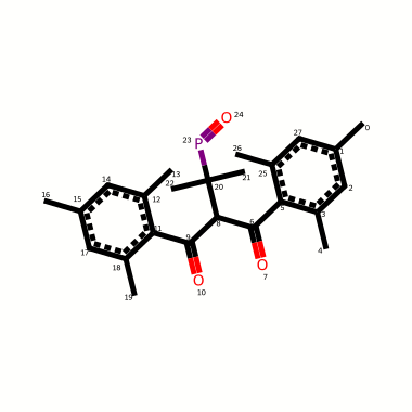 Cc1cc(C)c(C(=O)C(C(=O)c2c(C)cc(C)cc2C)C(C)(C)P=O)c(C)c1